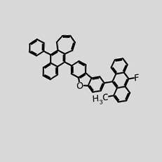 Cc1cccc2c(F)c3ccccc3c(-c3ccc4oc5cc(-c6c7c(c(-c8ccccc8)c8ccccc68)CC=CC=C7)ccc5c4c3)c12